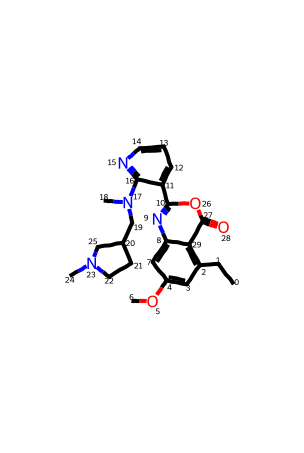 CCc1cc(OC)cc2nc(-c3cccnc3N(C)CC3CCN(C)C3)oc(=O)c12